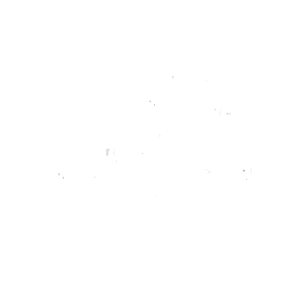 NC(=O)NC(=O)c1nccnc1C(=O)O